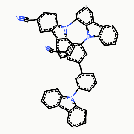 N#Cc1cc(-c2cccc(-n3c4ccccc4c4ccccc43)c2)cc(-n2c3ccccc3c3cccc(-n4c5ccccc5c5cc(C#N)ccc54)c32)c1